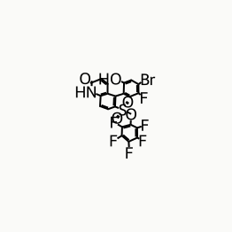 O=c1ccc2c(-c3cc(F)c(Br)cc3O)c(S(=O)(=O)Oc3c(F)c(F)c(F)c(F)c3F)ccc2[nH]1